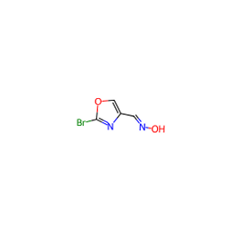 O/N=C/c1coc(Br)n1